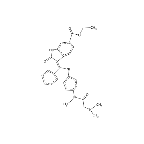 CCOC(=O)c1ccc2c(c1)NC(=O)C2=C(Nc1ccc(N(C)C(=O)CN(C)C)cc1)c1ccccc1